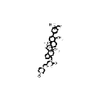 CC(=O)N(CCCN1CC[S+]([O-])CC1)CC12CCCC1C1CCC3C4(C)CC=C(C5=CC[C@](C)(CF)CC5)C(C)C4CCC3(C)[C@]1(C)CC2